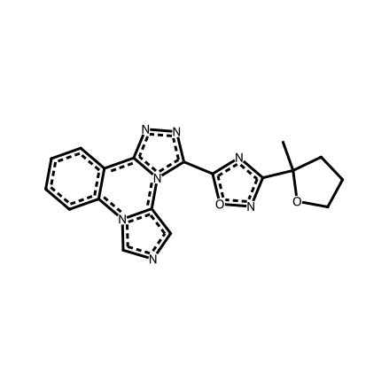 CC1(c2noc(-c3nnc4c5ccccc5n5cncc5n34)n2)CCCO1